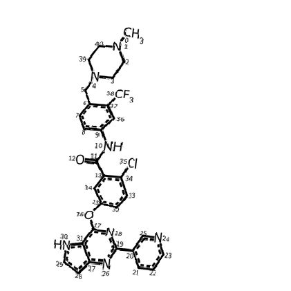 CN1CCN(Cc2ccc(NC(=O)c3cc(Oc4nc(-c5cccnc5)nc5cc[nH]c45)ccc3Cl)cc2C(F)(F)F)CC1